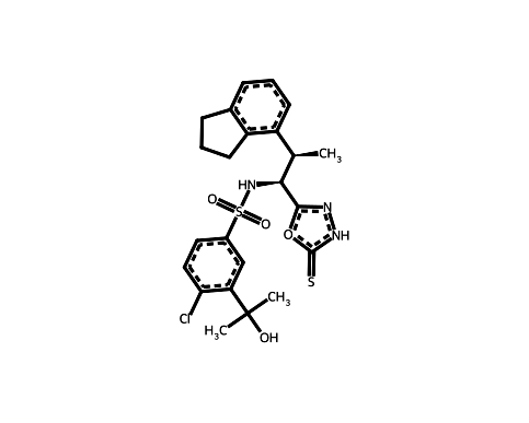 C[C@H](c1cccc2c1CCC2)[C@H](NS(=O)(=O)c1ccc(Cl)c(C(C)(C)O)c1)c1n[nH]c(=S)o1